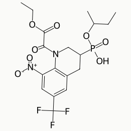 CCOC(=O)C(=O)N1CC(P(=O)(O)OC(C)CC)Cc2cc(C(F)(F)F)cc([N+](=O)[O-])c21